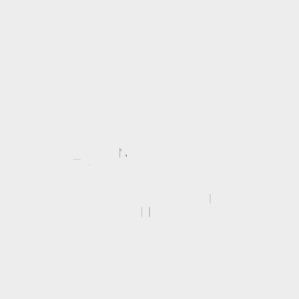 Cc1cc(C)c(C)[n+](O)c1